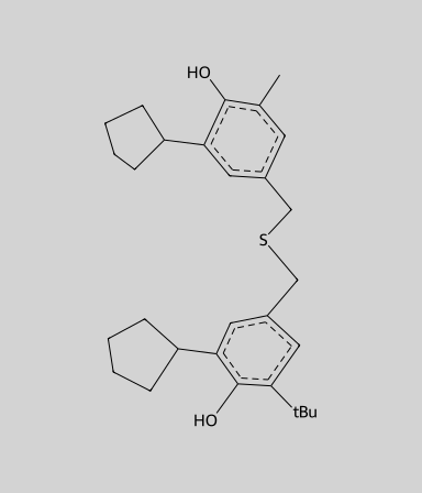 Cc1cc(CSCc2cc(C3CCCC3)c(O)c(C(C)(C)C)c2)cc(C2CCCC2)c1O